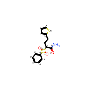 NC(=O)C(CCc1cccs1)S(=O)(=O)c1cc[c]cc1